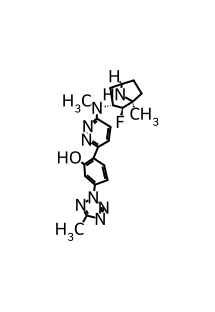 Cc1nnn(-c2ccc(-c3ccc(N(C)[C@@H]4C[C@H]5CC[C@](C)(N5)[C@H]4F)nn3)c(O)c2)n1